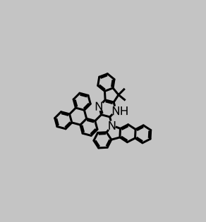 CC1(C)C2=C(N=C(c3cccc4c5ccccc5c5ccccc5c34)C(n3c4ccccc4c4cc5ccccc5cc43)N2)c2ccccc21